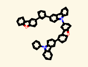 c1ccc(-n2c3ccccc3c3cc(-c4ccc5oc6ccc(-n7c8ccccc8c8cc(-c9cccc(-c%10ccc%11oc%12ccccc%12c%11c%10)c9)ccc87)cc6c5c4)ccc32)cc1